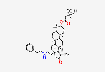 CC(C)C1=C2[C@H]3CCC4[C@@]5(C)CC[C@H](OC(=O)CC(C)(C)C(=O)O)C(C)(C)C5CC[C@@]4(C)[C@]3(C)CC[C@@]2(CCNCCc2ccccc2)CC1=O